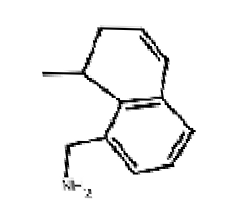 CC1CC=Cc2cccc(CN)c21